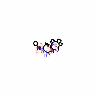 CC(C)[C@@H]1NC(=O)C(NC(=O)[C@@H](O)C2CCCCC2)Cc2ccc3c(c2)C24c5cccc(c5N[C@H]2O3)-c2cccc3c2C(=CC3)c2cnc(o2)-c2nc1oc24